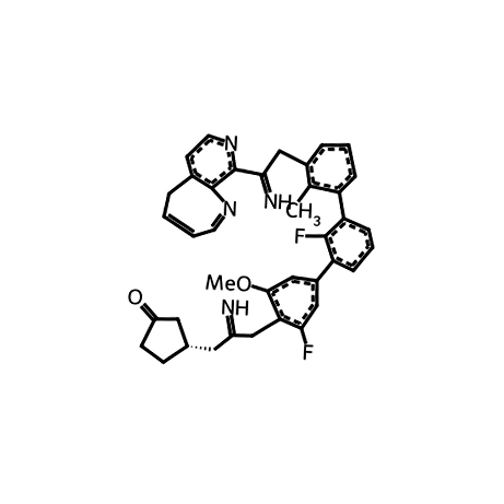 COc1cc(-c2cccc(-c3cccc(CC(=N)c4nccc5c4N=CC=CC5)c3C)c2F)cc(F)c1CC(=N)C[C@@H]1CCC(=O)C1